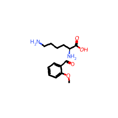 COc1ccccc1C=O.NCCCC[C@H](N)C(=O)O